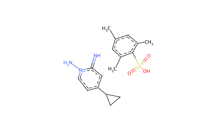 Cc1cc(C)c(S(=O)(=O)O)c(C)c1.N=c1cc(C2CC2)ccn1N